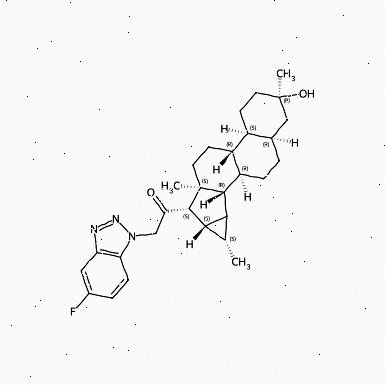 C[C@H]1C2[C@H]1[C@H](C(=O)Cn1nnc3cc(F)ccc31)[C@@]1(C)CC[C@H]3[C@@H](CC[C@@H]4C[C@](C)(O)CC[C@@H]43)[C@H]21